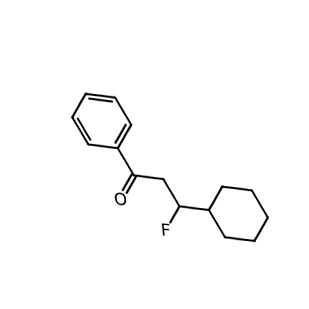 O=C(CC(F)C1CCCCC1)c1ccccc1